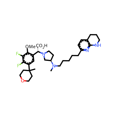 COc1c([C@H](C(=O)O)N2CC[C@@H](N(C)CCCCCc3ccc4c(n3)NCCC4)C2)cc(C2(C)CCOCC2)c(F)c1F